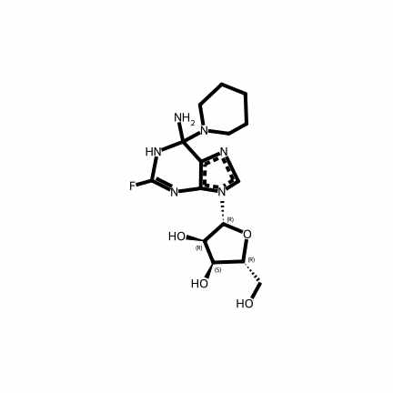 NC1(N2CCCCC2)NC(F)=Nc2c1ncn2[C@@H]1O[C@H](CO)[C@@H](O)[C@H]1O